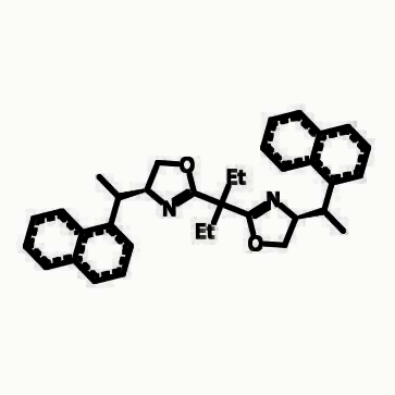 CCC(CC)(C1=N[C@@H](C(C)c2cccc3ccccc23)CO1)C1=N[C@@H](C(C)c2cccc3ccccc23)CO1